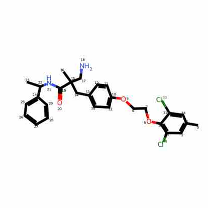 Cc1cc(Cl)c(OCCOc2ccc(CC(C)(CN)C(=O)NC(C)c3ccccc3)cc2)c(Cl)c1